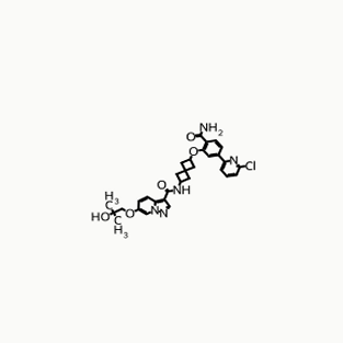 CC(C)(O)COc1ccc2c(C(=O)NC3CC4(C3)CC(Oc3cc(-c5cccc(Cl)n5)ccc3C(N)=O)C4)cnn2c1